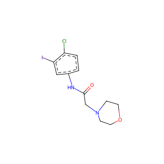 O=C(CN1CCOCC1)Nc1ccc(Cl)c(I)c1